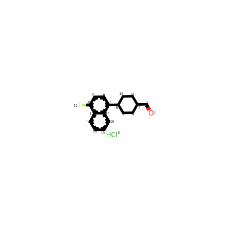 Cl.O=CC1CCC(c2ccc(F)c3ccccc23)CC1